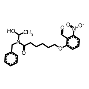 CC(O)N(Cc1ccccc1)C(=O)CCCCCOc1cccc([N+](=O)[O-])c1C=O